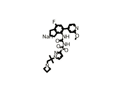 COc1cc(-c2cc(F)c3c(c2NC(=O)NS(=O)(=O)c2ccn(C(C)(C)CN4CCC4)n2)CCC3)ccn1.[NaH]